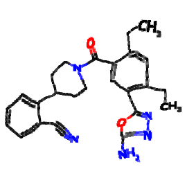 CCc1cc(CC)c(-c2nnc(N)o2)cc1C(=O)N1CCC(c2ccccc2C#N)CC1